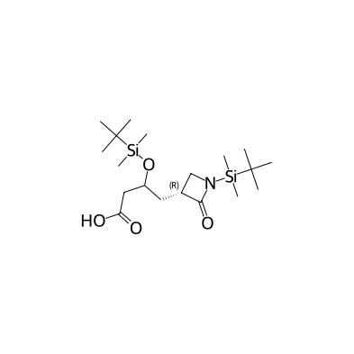 CC(C)(C)[Si](C)(C)OC(CC(=O)O)C[C@@H]1CN([Si](C)(C)C(C)(C)C)C1=O